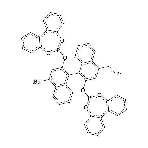 CC(C)Cc1cc(Op2oc3ccccc3c3ccccc3o2)c(-c2c(Op3oc4ccccc4c4ccccc4o3)cc(C(C)(C)C)c3ccccc23)c2ccccc12